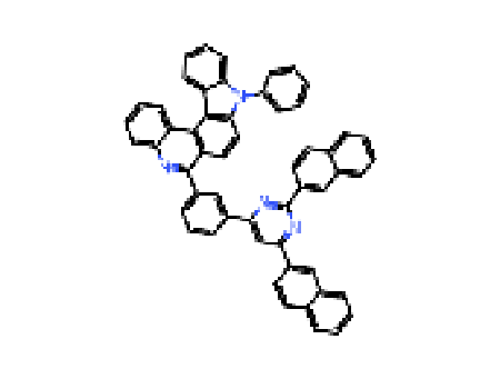 c1ccc(-n2c3ccccc3c3c4c(ccc32)c(-c2cccc(-c3cc(-c5ccc6ccccc6c5)nc(-c5ccc6ccccc6c5)n3)c2)nc2ccccc24)cc1